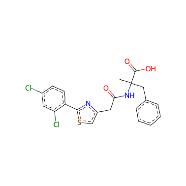 CC(Cc1ccccc1)(NC(=O)Cc1csc(-c2ccc(Cl)cc2Cl)n1)C(=O)O